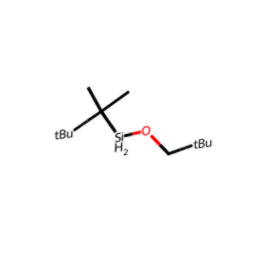 [CH2]C(C)(C)CO[SiH2]C(C)(C)C(C)(C)C